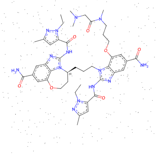 CCn1nc(C)cc1C(=O)Nc1nc2cc(C(N)=O)cc(OCCCN(C)C(=O)CN(C)C)c2n1CCC[C@H]1CCOc2cc(C(N)=O)cc3nc(NC(=O)c4cc(C)nn4CC)n1c23